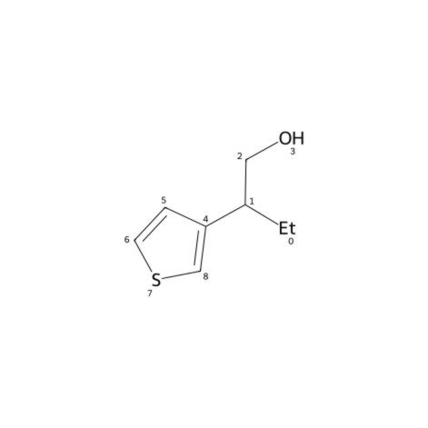 CCC(CO)c1ccsc1